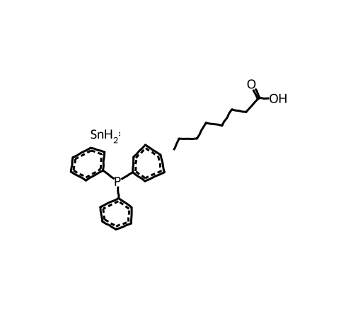 CCCCCCCC(=O)O.[SnH2].c1ccc(P(c2ccccc2)c2ccccc2)cc1